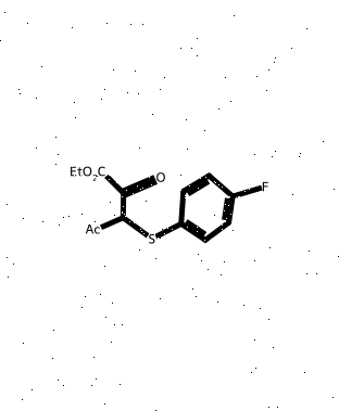 CCOC(=O)C(=O)C(Sc1ccc(F)cc1)C(C)=O